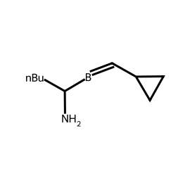 CCCCC(N)/B=C\C1CC1